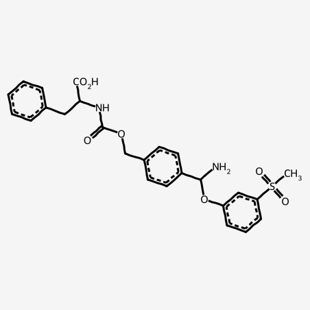 CS(=O)(=O)c1cccc(OC(N)c2ccc(COC(=O)NC(Cc3ccccc3)C(=O)O)cc2)c1